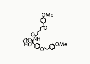 COc1ccc(CCOc2ccc([C@@H](O)[C@@H](CN3CCCC3)NC(=O)CCCCC(=O)c3ccc(OC)cc3)cc2)cc1